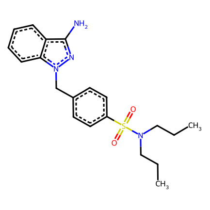 CCCN(CCC)S(=O)(=O)c1ccc(Cn2nc(N)c3ccccc32)cc1